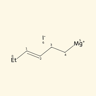 CC/C=C/C[CH2][Mg+].[I-]